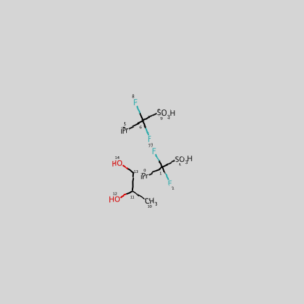 CC(C)C(F)(F)S(=O)(=O)O.CC(C)C(F)(F)S(=O)(=O)O.CC(O)CO